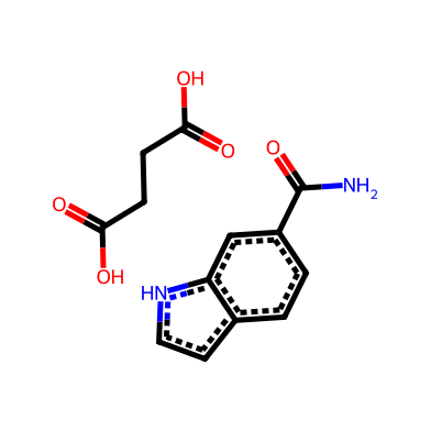 NC(=O)c1ccc2cc[nH]c2c1.O=C(O)CCC(=O)O